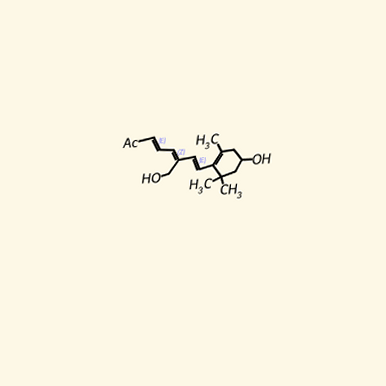 CC(=O)/C=C/C=C(/C=C/C1=C(C)CC(O)CC1(C)C)CO